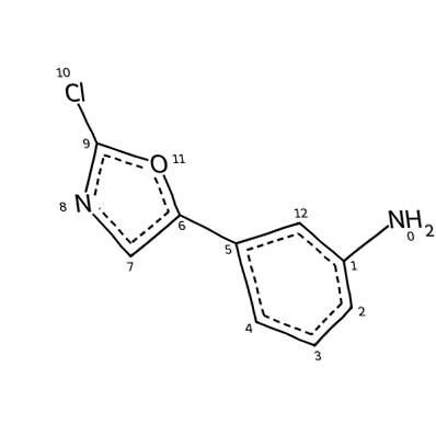 Nc1cccc(-c2cnc(Cl)o2)c1